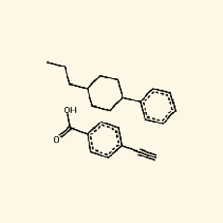 C#Cc1ccc(C(=O)O)cc1.CCCC1CCC(c2ccccc2)CC1